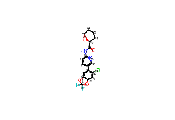 O=C(Nc1ccc(-c2cc3c(cc2Cl)OC(F)(F)O3)cn1)C1CCCCO1